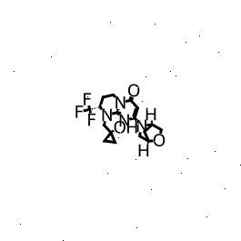 O=c1cc(N2C[C@@H]3C[C@H]2CO3)nc2n1CC[C@@H](C(F)(F)F)N2CC1(O)CC1